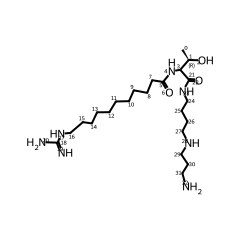 C[C@@H](O)C(NC(=O)CCCCCCCCCCNC(=N)N)C(=O)NCCCCNCCCN